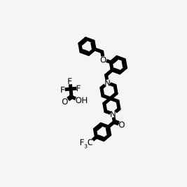 O=C(O)C(F)(F)F.O=C(c1ccc(C(F)(F)F)cc1)N1CCC2(CCN(Cc3ccccc3OCc3ccccc3)CC2)CC1